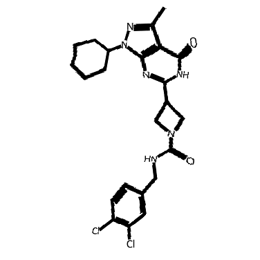 Cc1nn(C2CCCCC2)c2nc(C3CN(C(=O)NCc4ccc(Cl)c(Cl)c4)C3)[nH]c(=O)c12